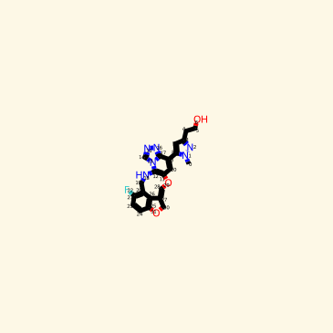 Cn1nc(CCO)cc1-c1cc2c(n3cnnc13)NCc1c(F)ccc3c1/C(=C/O2)CO3